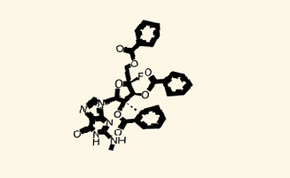 CNc1nc2c(ncn2C2O[C@](F)(COC(=O)c3ccccc3)[C@@H](OC(=O)c3ccccc3)[C@@]2(C)OC(=O)c2ccccc2)c(=O)[nH]1